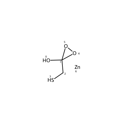 OC1(CS)OO1.[Zn]